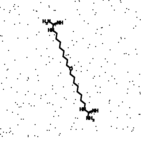 N=C(N)NCCCCCCCCOCCCCCCCCNC(=N)N